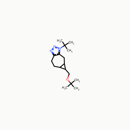 CC(C)(C)OCC1C2CCc3nnn(C(C)(C)C)c3CC21